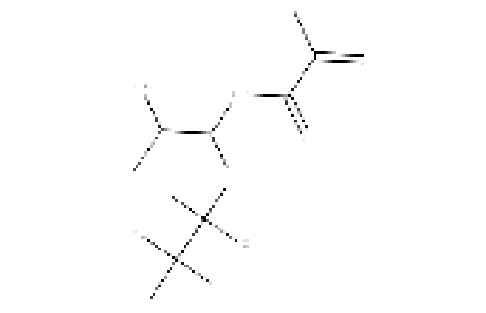 C=C(C)C(=O)OC(OC(F)(F)C(C)(F)F)C(C)O